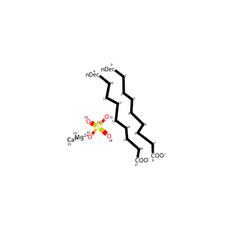 CCCCCCCCCCCCCCCCCC(=O)[O-].CCCCCCCCCCCCCCCCCC(=O)[O-].O=S(=O)([O-])[O-].[Ca+2].[Mg+2]